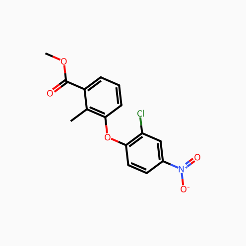 COC(=O)c1cccc(Oc2ccc([N+](=O)[O-])cc2Cl)c1C